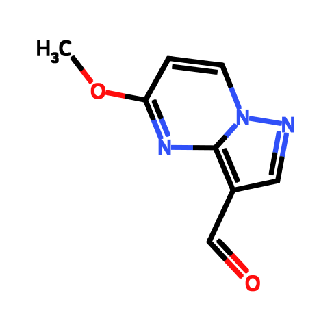 COc1ccn2ncc(C=O)c2n1